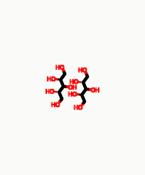 OC[C@@H](O)C(O)[C@H](O)CO.OC[C@H](O)C(O)[C@@H](O)CO